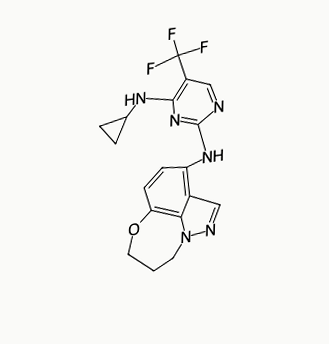 FC(F)(F)c1cnc(Nc2ccc3c4c2cnn4CCCO3)nc1NC1CC1